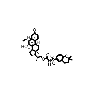 CC[C@H]1[C@@H](O)[C@@H]2[C@H](CC[C@]3(C)[C@@H]([C@H](C)COC(=O)NS(=O)(=O)c4ccc5c(c4)CCC(C)(C)O5)CC[C@@H]23)[C@@]2(C)CCC(=O)C[C@@H]12